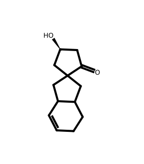 O=C1C[C@H](O)CC12CC1C=CCCC1C2